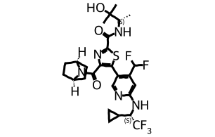 C[C@H](NC(=O)c1nc(C(=O)N2[C@H]3CC[C@@H]2CC3)c(-c2cnc(N[C@@H](C3CC3)C(F)(F)F)cc2C(F)F)s1)C(C)(C)O